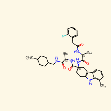 CCC(C)[C@H](NC(=O)Cc1ccccc1F)C(=O)N[C@]1(C(=O)N[C@H](C(=O)NCC2CCC(C=O)CC2)C(C)CC)CCc2[nH]c3c(C(F)(F)F)cccc3c2C1